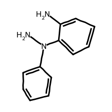 Nc1ccccc1N(N)c1ccccc1